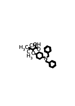 CC(C)(C)C(OC1CCC(N(Cc2ccccc2)Cc2ccccc2)CC1)C(=O)O